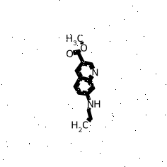 C=CCNc1ccc2cc(C(=O)OC)cnc2c1